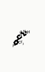 O=C(C1=NNCC1)N1CCC(c2ccc(F)cc2C(F)(F)F)CC1